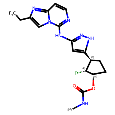 CC(C)NC(=O)O[C@@H]1CC[C@H](c2cc(Nc3nccc4nc(CC(F)(F)F)cn34)n[nH]2)[C@H]1F